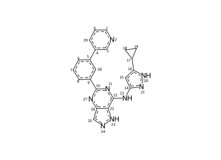 c1cncc(-c2cccc(-c3nc(Nc4cc(C5CC5)[nH]n4)c4[nH]ncc4n3)c2)c1